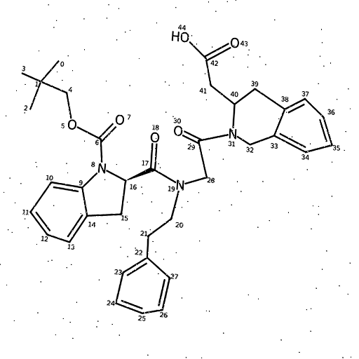 CC(C)(C)COC(=O)N1c2ccccc2C[C@@H]1C(=O)N(CCc1ccccc1)CC(=O)N1Cc2ccccc2CC1CC(=O)O